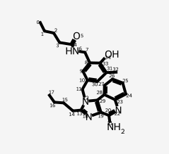 CCCCC(=O)NCc1cc(Cn2c(CCCC)nc3c(N)nc4ccccc4c32)cc(C)c1O